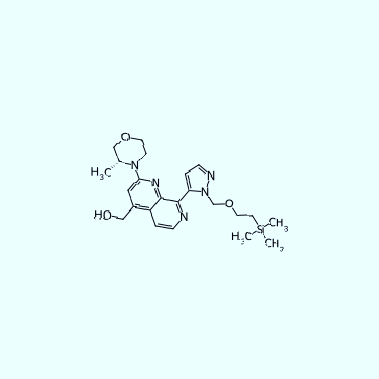 C[C@@H]1COCCN1c1cc(CO)c2ccnc(-c3ccnn3COCC[Si](C)(C)C)c2n1